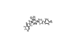 O=C1NC(N2CC=C(c3ccc(F)cc3)CC2)N=CN1Cc1cc2c(s1)CCCC2